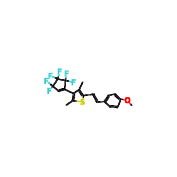 COc1ccc(C=Cc2sc(C)c(C3=CC(F)(F)C(F)(F)C3(F)F)c2C)cc1